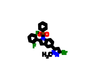 Cn1nc(Br)cc1-c1ccc2c(c1)cc(-c1c(F)cccc1F)n2S(=O)(=O)c1ccccc1